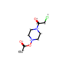 CC(C)(C)C(=O)ON1CCN(C(=O)CCl)CC1